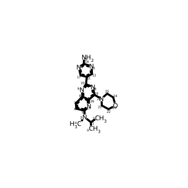 CC(C)N(C)c1ccc2nc(-c3cnc(N)nc3)nc(N3CCOCC3)c2n1